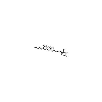 CCCCCC(O)CCCN(CCCCCCC(=O)NC(C)N(C)C)S(C)(=O)=O